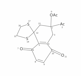 CC(=O)OC1(C(C)=O)CC2=C(C(=O)C=CC2=O)C2(C1)SCCS2